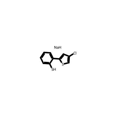 Sc1ccccc1-c1cc(Cl)cs1.[NaH]